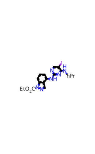 CCCNc1nc(Nc2cccc3c2cnn3C(=O)OCC)ncc1I